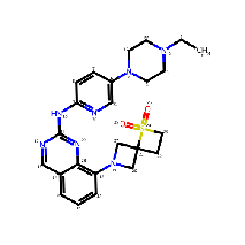 CCN1CCN(c2ccc(Nc3ncc4cccc(N5CC6(CCS6(=O)=O)C5)c4n3)nc2)CC1